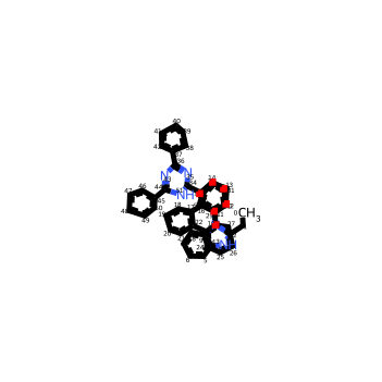 CCC1Nc2ccccc2N1c1ccccc1-c1ccccc1-c1ccccc1-c1cccc(C2N=C(c3ccccc3)N=C(c3ccccc3)N2)c1